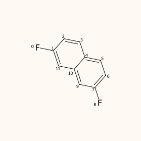 Fc1ccc2ccc(F)cc2c1